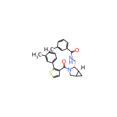 Cc1cccc(C(=O)NC[C@@H]2[C@H]3CC3CN2C(=O)c2ccsc2-c2cccc(C)c2)c1